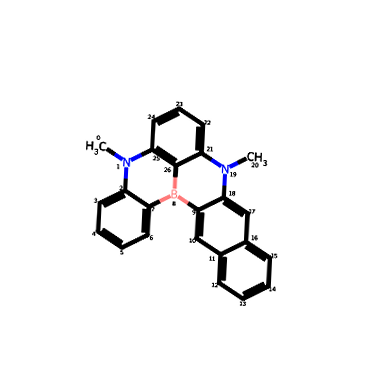 CN1c2ccccc2B2c3cc4ccccc4cc3N(C)c3cccc1c32